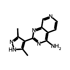 Cc1n[nH]c(C)c1-c1nc(N)c2ccncc2n1